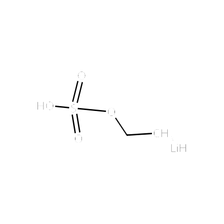 CCOS(=O)(=O)O.[LiH]